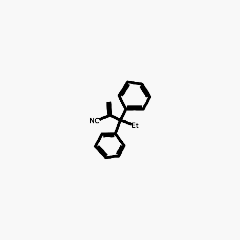 C=C(C#N)C(CC)(c1ccccc1)c1ccccc1